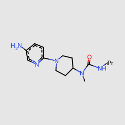 CC(C)NC(=O)N(C)C1CCN(c2ccc(N)cn2)CC1